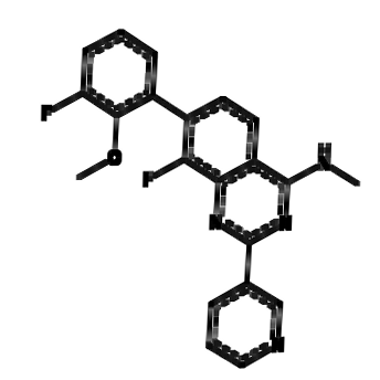 CNc1nc(-c2cccnc2)nc2c(F)c(-c3cccc(F)c3OC)ccc12